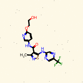 Cc1nsc(Nc2cnc(C(F)(F)F)cn2)c1C(=O)Nc1ccc(OCCO)nc1